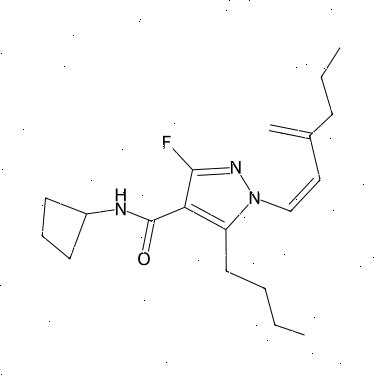 C=C(/C=C\n1nc(F)c(C(=O)NC2CCC2)c1CCCC)CCC